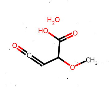 COC(C=C=O)C(=O)O.O